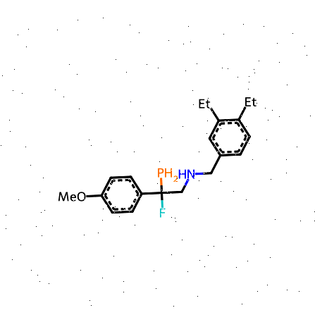 CCc1ccc(CNCC(F)(P)c2ccc(OC)cc2)cc1CC